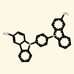 CC1=CC2c3ccccc3N(c3ccc(-n4c5ccccc5c5cc(C)ccc54)cc3)C2C=C1